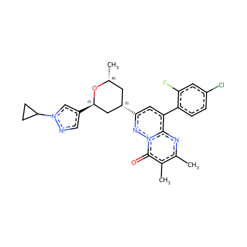 Cc1nc2c(-c3ccc(Cl)cc3F)cc([C@H]3C[C@@H](C)O[C@H](c4cnn(C5CC5)c4)C3)nn2c(=O)c1C